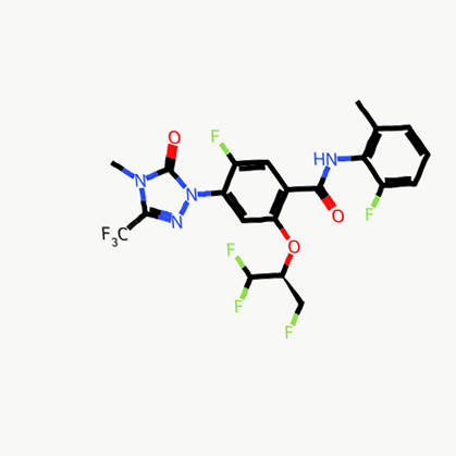 Cc1cccc(F)c1NC(=O)c1cc(F)c(-n2nc(C(F)(F)F)n(C)c2=O)cc1O[C@@H](CF)C(F)F